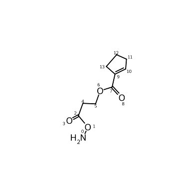 NOC(=O)CCOC(=O)C1=CCCC1